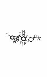 CCS(=O)(=O)c1ccc(Cl)cc1CNC(=O)c1cc(C(F)(F)F)c(CN2CCN(C(=O)OC(C)(C)C)CC2)c(F)c1N